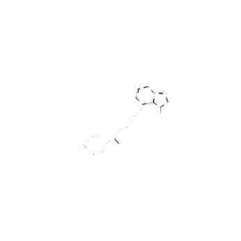 CC(C)c1c[nH]c2cccc(OCCCC(=O)N3CCC(O)CC3)c12